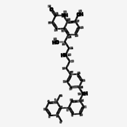 Cc1cccc(C)c1-c1cccc(Nc2ccc(CCNC[C@H](O)c3ccc(O)c4[nH]c(=O)ccc34)cc2)c1